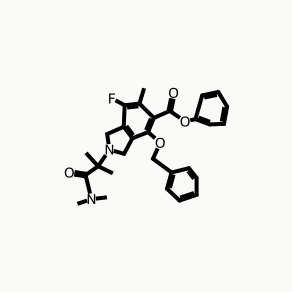 Cc1c(F)c2c(c(OCc3ccccc3)c1C(=O)Oc1ccccc1)CN(C(C)(C)C(=O)N(C)C)C2